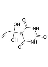 C=CC(O)(O)n1c(=O)[nH]c(=O)[nH]c1=O